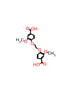 COc1cc(C(=O)O)ccc1OCCOc1ccc(C(=O)O)cc1OC